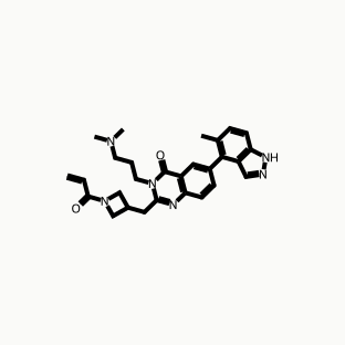 C=CC(=O)N1CC(Cc2nc3ccc(-c4c(C)ccc5[nH]ncc45)cc3c(=O)n2CCCN(C)C)C1